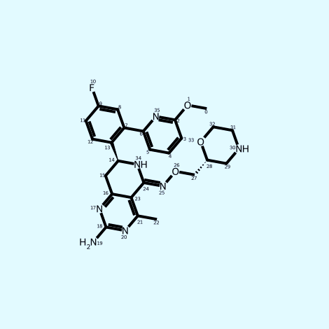 COc1cccc(-c2cc(F)ccc2[C@@H]2Cc3nc(N)nc(C)c3/C(=N/OC[C@H]3CNCCO3)N2)n1